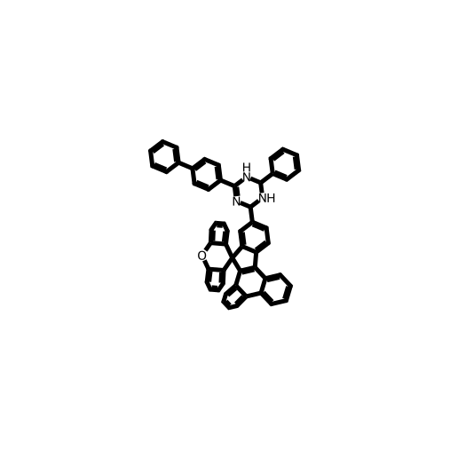 c1ccc(-c2ccc(C3=NC(c4ccc5c(c4)C4(c6ccccc6Oc6ccccc64)c4c-5c5ccccc5c5ccccc45)NC(c4ccccc4)N3)cc2)cc1